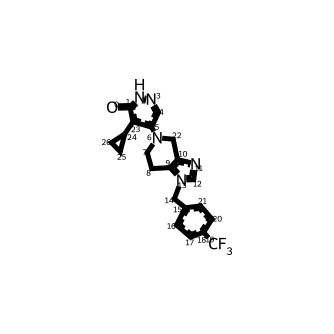 O=c1[nH]ncc(N2CCc3c(ncn3Cc3ccc(C(F)(F)F)cc3)C2)c1C1CC1